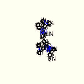 N#Cc1ccc(-c2nc(-n3c4ccc5cc(-c6ccc7nc(-n8c9ccc%10ccccc%10c9c9c%10c%11ccccc%11n%11c%12ccccc%12c(cc98)c%10%11)nc(C#N)c7c6)ccc5c4c4c5c6ccccc6n6c7ccccc7c(cc43)c56)nc3ccccc23)cc1